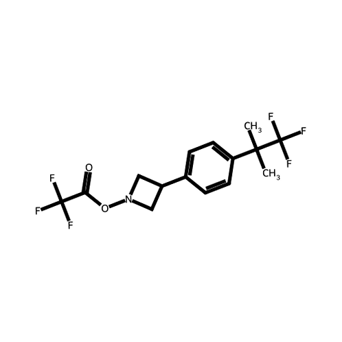 CC(C)(c1ccc(C2CN(OC(=O)C(F)(F)F)C2)cc1)C(F)(F)F